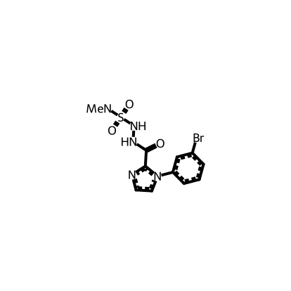 CNS(=O)(=O)NNC(=O)c1nccn1-c1cccc(Br)c1